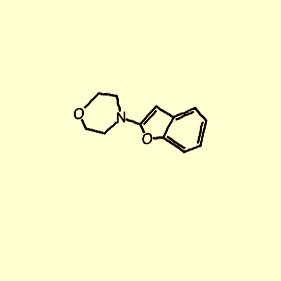 c1ccc2oc(N3CCOCC3)cc2c1